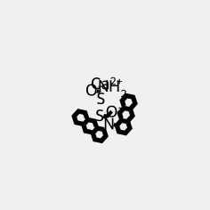 NC([O-])=S.[Ca+2].[O-]C(=S)N(c1cccc2cc3ccccc3cc12)c1cccc2cc3ccccc3cc12